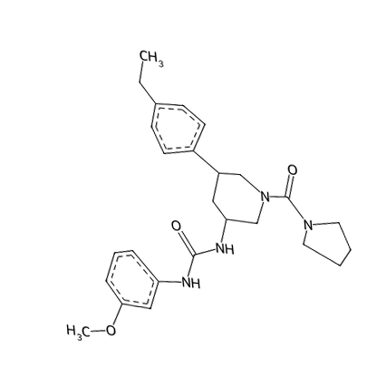 CCc1ccc(C2CC(NC(=O)Nc3cccc(OC)c3)CN(C(=O)N3CCCC3)C2)cc1